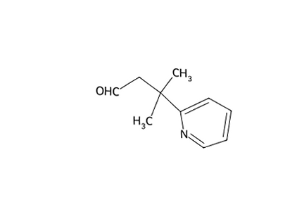 CC(C)(CC=O)c1ccccn1